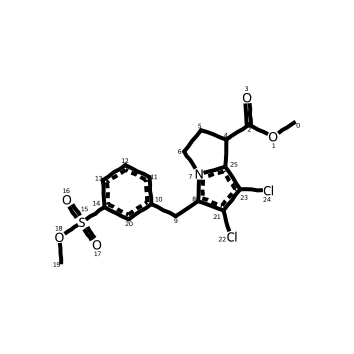 COC(=O)C1CCn2c(Cc3cccc(S(=O)(=O)OC)c3)c(Cl)c(Cl)c21